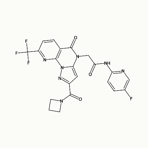 O=C(Cn1c(=O)c2ccc(C(F)(F)F)nc2n2nc(C(=O)N3CCC3)cc12)Nc1ccc(F)cn1